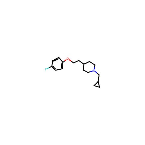 Fc1ccc(OCCC2CCN(CC3CC3)CC2)cc1